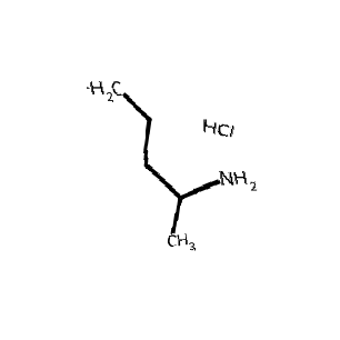 Cl.[CH2]CCC(C)N